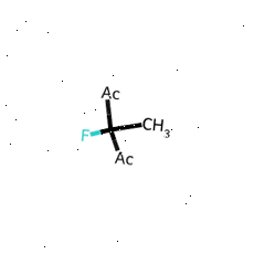 CC(=O)C(C)(F)C(C)=O